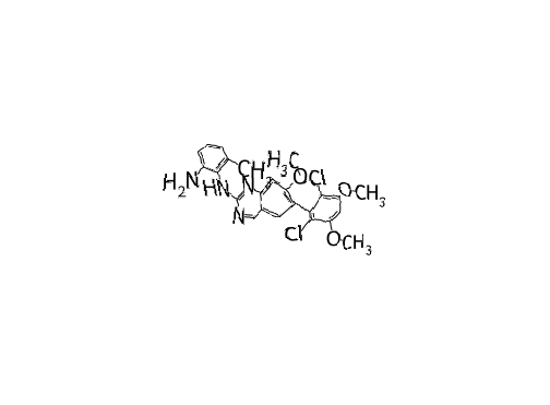 COc1cc2nc(Nc3c(C)cccc3N)ncc2cc1-c1c(Cl)c(OC)cc(OC)c1Cl